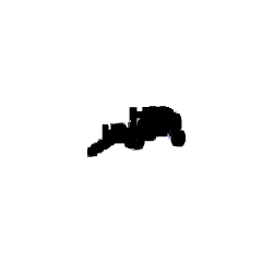 CCCCCCCCCCCCNC(=O)CCCOc1ccc(NN(CC(C)C)C(=O)CNC(=O)/C=C/c2ccccc2)cc1